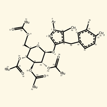 CC(=O)n1nc(O[C@@H]2O[C@H](COC(=O)C(C)(C)C)[C@@H](OC(=O)C(C)(C)C)[C@H](OC(=O)C(C)(C)C)[C@H]2OC(=O)C(C)(C)C)c(Cc2ccc(C)c(F)c2)c1C